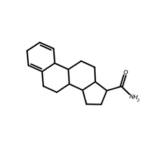 NC(=O)C1CCC2C1CCC1C3C=CCC=C3CCC12